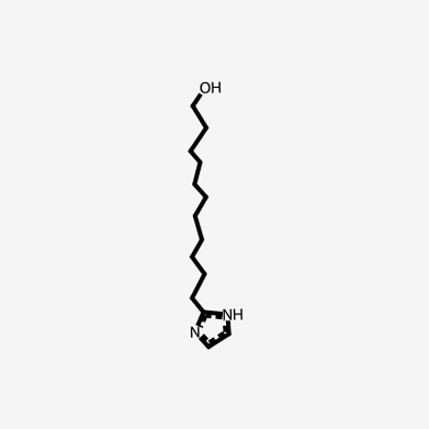 OCCCCCCCCCCCc1ncc[nH]1